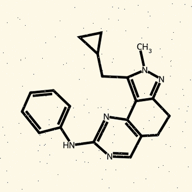 Cn1nc2c(c1CC1CC1)-c1nc(Nc3ccccc3)ncc1CC2